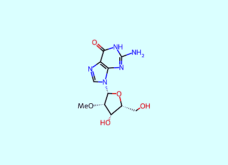 CO[C@H]1[C@@H](O)[C@@H](CO)O[C@H]1n1cnc2c(=O)[nH]c(N)nc21